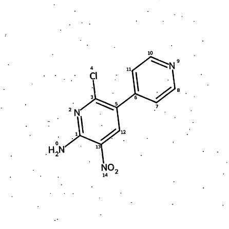 Nc1nc(Cl)c(-c2ccncc2)cc1[N+](=O)[O-]